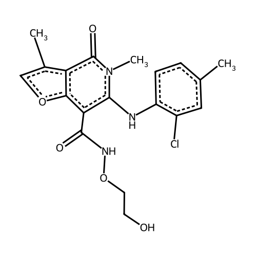 Cc1ccc(Nc2c(C(=O)NOCCO)c3occ(C)c3c(=O)n2C)c(Cl)c1